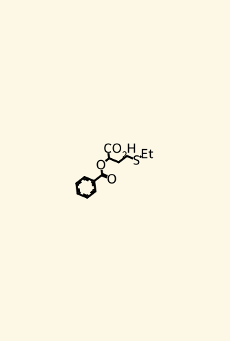 CCSCCC(OC(=O)c1ccccc1)C(=O)O